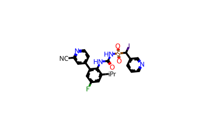 CC(C)c1cc(F)cc(-c2ccnc(C#N)c2)c1NC(=O)NS(=O)(=O)C(I)c1cccnc1